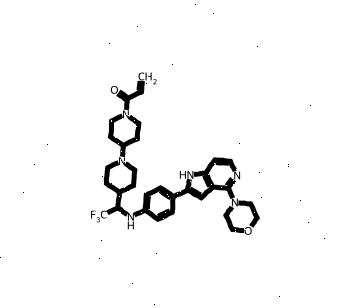 C=CC(=O)N1CCC(N2CCC(C(Nc3ccc(-c4cc5c(N6CCOCC6)nccc5[nH]4)cc3)C(F)(F)F)CC2)CC1